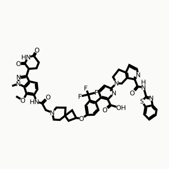 COc1c(NC(=O)CN2CCC3(CC2)CC(Oc2ccc(-c4ccc(N5CCc6ccnc(C(=O)Nc7nc8ccccc8s7)c6C5)nc4C(=O)O)c(C(F)(F)F)c2)C3)ccc2c(C3CCC(=O)NC3=O)nn(C)c12